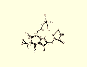 Cc1c(CN2CCNC2=O)sc2c1c(=O)n(C1(C)CC1)c(=O)n2CCOC(F)(F)F